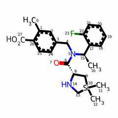 Cc1cc(CN(C(=O)[C@@H]2C[Si](C)(C)CN2)[C@H](C)c2ccccc2F)ccc1C(=O)O